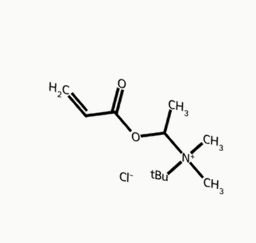 C=CC(=O)OC(C)[N+](C)(C)C(C)(C)C.[Cl-]